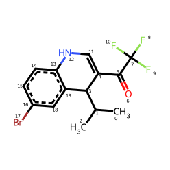 CC(C)C1C(C(=O)C(F)(F)F)=CNc2ccc(Br)cc21